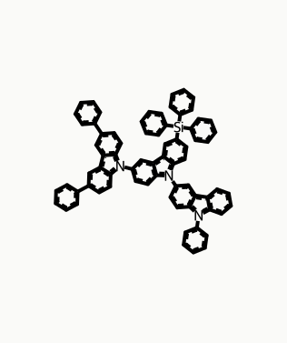 c1ccc(-c2ccc3c(c2)c2cc(-c4ccccc4)ccc2n3-c2ccc3c(c2)c2cc([Si](c4ccccc4)(c4ccccc4)c4ccccc4)ccc2n3-c2ccc3c(c2)c2ccccc2n3-c2ccccc2)cc1